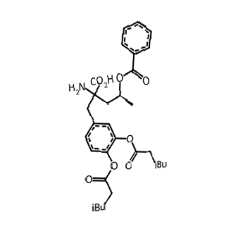 CCC(C)CC(=O)Oc1ccc(CC(N)(C[C@H](C)OC(=O)c2ccccc2)C(=O)O)cc1OC(=O)CC(C)CC